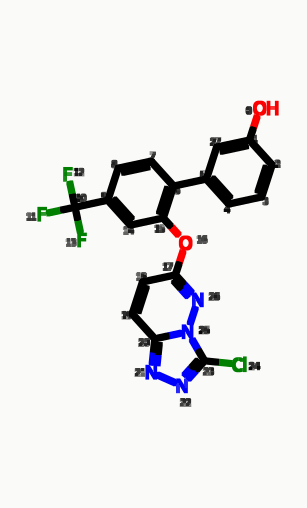 Oc1cccc(-c2ccc(C(F)(F)F)cc2Oc2ccc3nnc(Cl)n3n2)c1